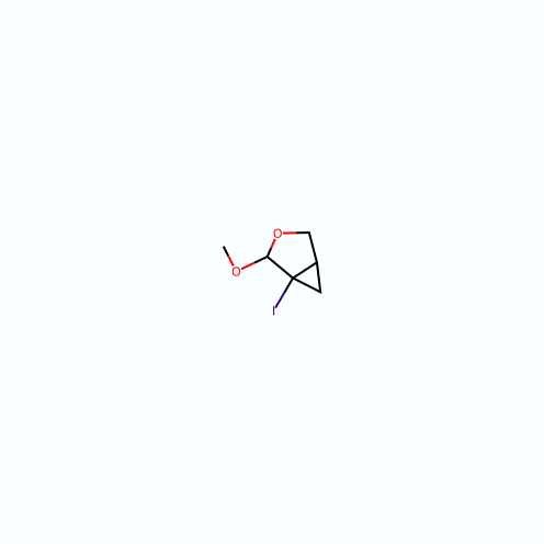 COC1OCC2CC21I